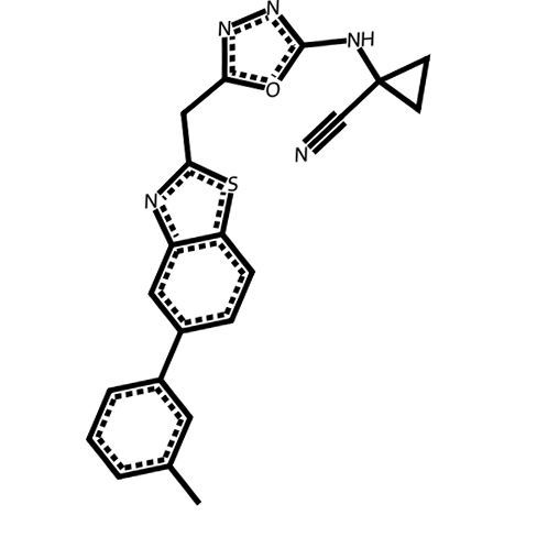 Cc1cccc(-c2ccc3sc(Cc4nnc(NC5(C#N)CC5)o4)nc3c2)c1